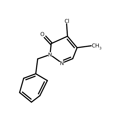 Cc1cnn(Cc2ccccc2)c(=O)c1Cl